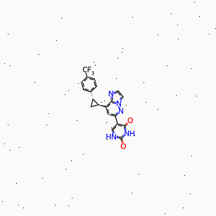 O=c1[nH]cc(-c2cc([C@H]3C[C@@H]3c3ccc(C(F)(F)F)cc3)c3nccn3n2)c(=O)[nH]1